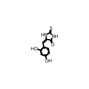 O=C1NC(=S)NC1=Cc1ccc(O)cc1O